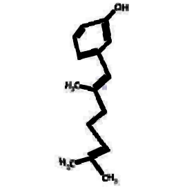 CC(C)=CCC/C(C)=C/c1cccc(O)c1